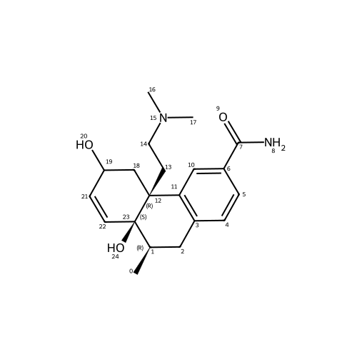 C[C@@H]1Cc2ccc(C(N)=O)cc2[C@@]2(CCN(C)C)CC(O)C=C[C@@]12O